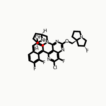 Oc1cc(-c2nc(Cl)c(F)c3nc(OC[C@@]45CCCN4C[C@H](F)C5)nc(N4C[C@H]5CC[C@@H](C4)N5)c23)c2c(F)c(F)ccc2c1